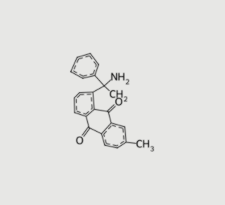 [CH2]C(N)(c1ccccc1)c1cccc2c1C(=O)c1cc(C)ccc1C2=O